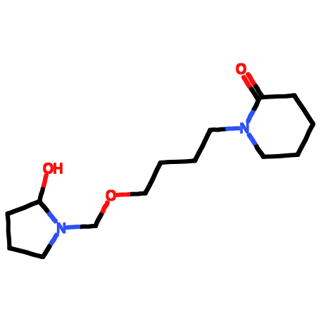 O=C1CCCCN1CCCCOCN1CCCC1O